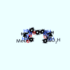 COC(=O)NC(C(=O)N1[C@@H]2C[C@@H]2C[C@H]1c1nc2c(Oc3ccc(-c4ccc5[nH]c([C@@H]6C[C@H]7C[C@H]7N6C(=O)C(NC(=O)O)c6ccccc6)nc5c4)cc3)cccc2[nH]1)c1ccccc1